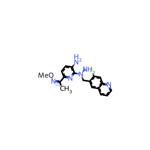 CO/N=C(/C)c1ccc(N)c(N(N)Cc2cc3cccnc3cc2F)n1